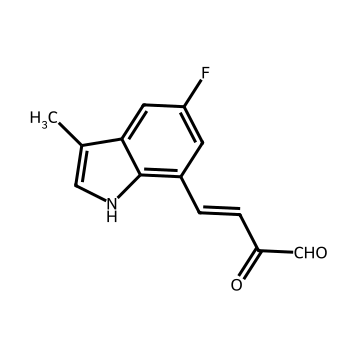 Cc1c[nH]c2c(/C=C/C(=O)C=O)cc(F)cc12